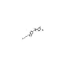 CCOC(=O)CCCn1ncc2cc(-c3noc(-c4ccc(OC(C)C)c(Cl)c4)n3)c(C)cc21